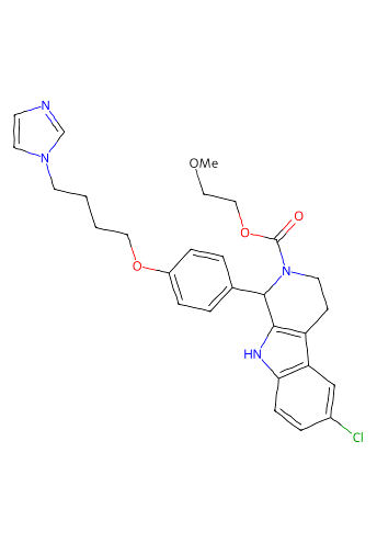 COCCOC(=O)N1CCc2c([nH]c3ccc(Cl)cc23)C1c1ccc(OCCCCn2ccnc2)cc1